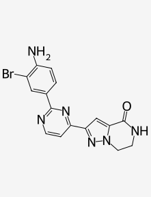 Nc1ccc(-c2nccc(-c3cc4n(n3)CCNC4=O)n2)cc1Br